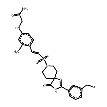 Cc1cc(NCC(N)=O)ccc1/C=C/S(=O)(=O)N1CCC2(CC1)N=C(c1cccc(OF)c1)NC2=O